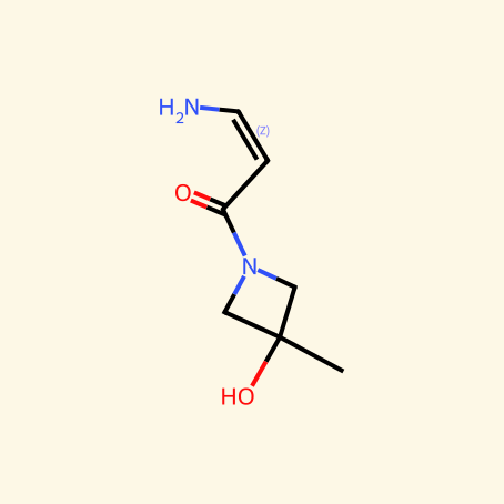 CC1(O)CN(C(=O)/C=C\N)C1